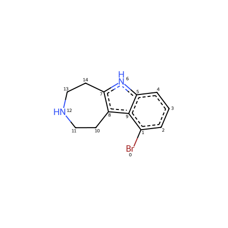 Brc1cccc2[nH]c3c(c12)CCNCC3